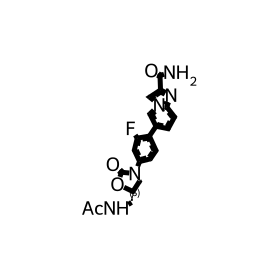 CC(=O)NC[C@H]1CN(c2ccc(-c3ccc4nc(C(N)=O)cn4c3)c(F)c2)C(=O)O1